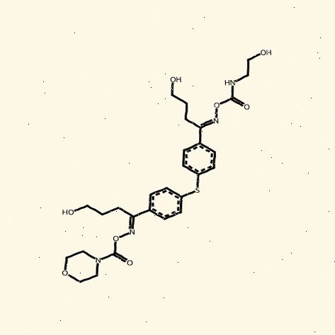 O=C(NCCO)O/N=C(\CCCO)c1ccc(Sc2ccc(/C(CCCO)=N/OC(=O)N3CCOCC3)cc2)cc1